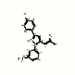 FC(F)=Cc1cc(-c2ccc(F)cc2)nn1-c1cccc(C(F)(F)F)c1